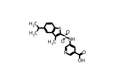 Cc1c(S(=O)(=O)Nc2cncc(C(=O)O)c2)sc2ccc(C(C)C)cc12